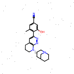 Cc1cc(C#N)cc(O)c1-c1cc2c(nn1)N([C@H]1CC3CCCN(C3)C1)CCC2